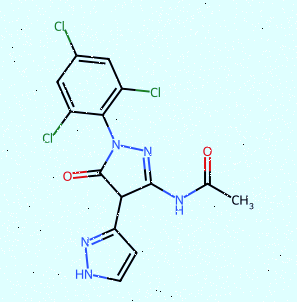 CC(=O)NC1=NN(c2c(Cl)cc(Cl)cc2Cl)C(=O)C1c1cc[nH]n1